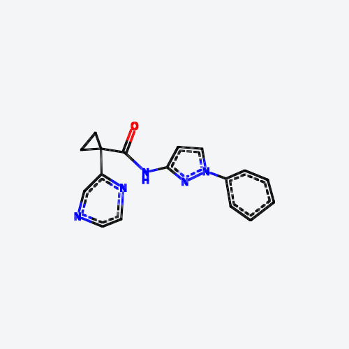 O=C(Nc1ccn(-c2ccccc2)n1)C1(c2cnccn2)CC1